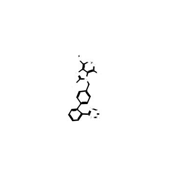 CSc1nnc(O)c2c1nc(C)n2Cc1ccc(-c2ccccc2-c2nnn[nH]2)cc1